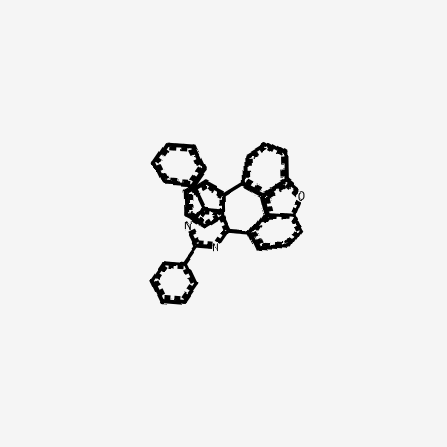 c1ccc(-c2nc(-c3ccccc3)nc(-c3cccc4oc5cccc(-c6ccccc6)c5c34)n2)cc1